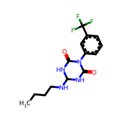 CCCCNC1NC(=O)N(c2cccc(C(F)(F)F)c2)C(=O)N1